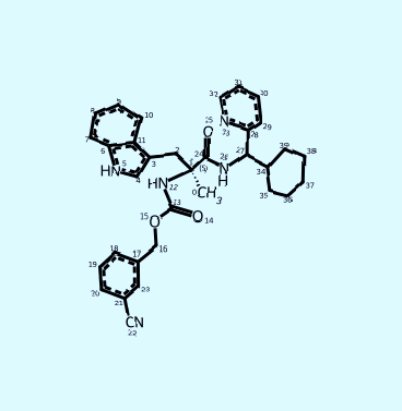 C[C@@](Cc1c[nH]c2ccccc12)(NC(=O)OCc1cccc(C#N)c1)C(=O)NC(c1ccccn1)C1CCCCC1